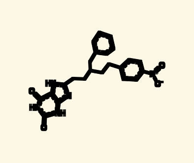 O=c1[nH]c(=O)c2[nH]c(CCC(CCc3ccc([N+](=O)[O-])cc3)Cc3ccccc3)nc2[nH]1